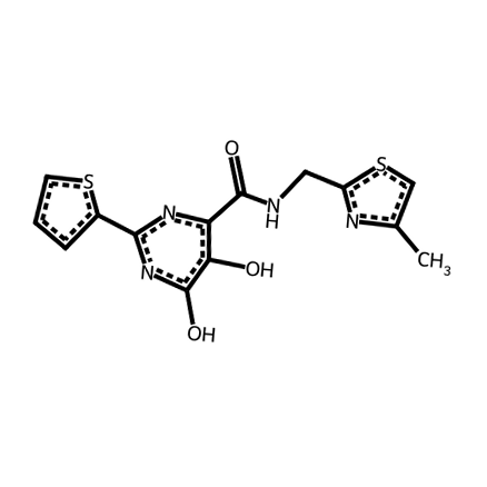 Cc1csc(CNC(=O)c2nc(-c3cccs3)nc(O)c2O)n1